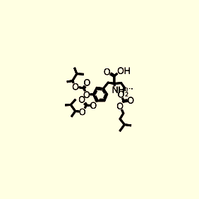 CC(C)CCOC(=O)O[C@@H](C)CC(N)(Cc1ccc(OC(=O)OC(C)C(C)C)c(OC(=O)OC(C)C(C)C)c1)C(=O)O